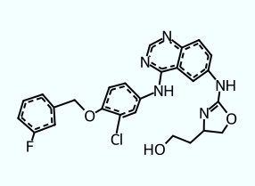 OCCC1COC(Nc2ccc3ncnc(Nc4ccc(OCc5cccc(F)c5)c(Cl)c4)c3c2)=N1